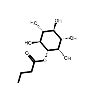 CCCC(=O)O[C@@H]1[C@@H](O)[C@H](O)[C@@H](O)[C@H](O)[C@@H]1O